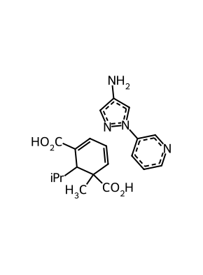 CC(C)C1C(C(=O)O)=CC=CC1(C)C(=O)O.Nc1cnn(-c2cccnc2)c1